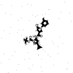 Cc1cccc(N2CC(C(=O)Nc3cc(C4CC4)nn3C(=O)OC(C)(C)C)CC2=O)c1